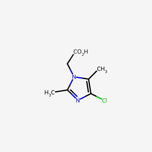 Cc1nc(Cl)c(C)n1CC(=O)O